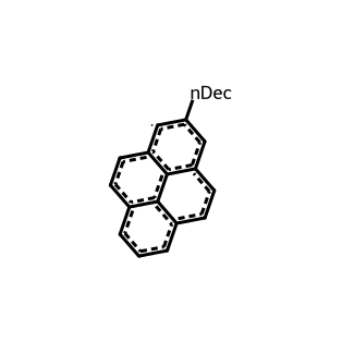 CCCCCCCCCCc1[c]c2ccc3cccc4ccc(c1)c2c34